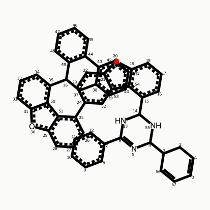 C1=CCC(C2N=C(c3ccccc3)NC(c3cccc4oc5ccc(-c6cccc7oc8cccc(C9Cc%10ccccc%10-c%10ccccc%109)c8c67)cc5c34)N2)C=C1